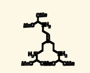 COC(OC)[SiH2]CC[SiH](CC[SiH2]C(OC)OC)CC[SiH2]C(OC)OC